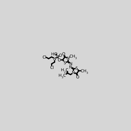 C=C(C)CN1C(=O)C(C)SC1=NN=C1SC(OP(=O)(O)N(CCCl)CCCl)C(=O)N1C